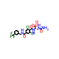 NC(=O)NC[C@H](NC(=O)c1c(Cl)cc(C(=O)NCc2cccc(C(F)(F)F)c2)cc1Cl)C(=O)O